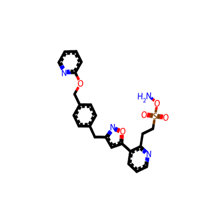 NOS(=O)(=O)CCc1ncccc1-c1cc(Cc2ccc(COc3ccccn3)cc2)no1